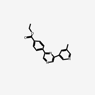 CCOC(=O)c1ccc(-c2cncc(-c3cncc(C)c3)n2)cc1